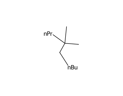 CCCCCC(C)(C)CCC